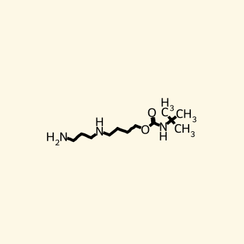 CC(C)(C)NC(=O)OCCCCNCCCN